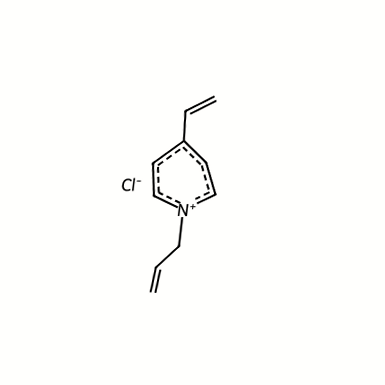 C=CC[n+]1ccc(C=C)cc1.[Cl-]